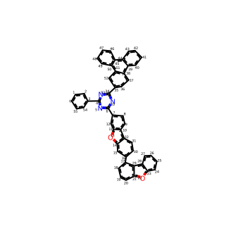 c1ccc(-c2nc(-c3ccc4c(c3)oc3cc(-c5cccc6oc7ccccc7c56)ccc34)nc(-c3ccc4c5ccccc5c5ccccc5c4c3)n2)cc1